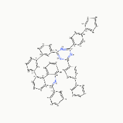 c1ccc(-c2ccc(-c3nc(-c4ccc(-c5ccccc5)cc4)nc(-c4cccc(-c5cccc(-c6cccc7c(-c8ccccc8)nc8ccccc8c67)c5)c4)n3)cc2)cc1